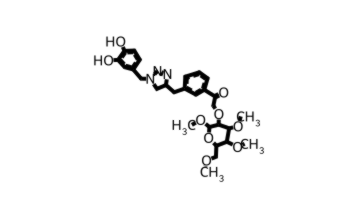 COCC1OC(OC)C(OCC(=O)c2cccc(CC3CN(Cc4ccc(O)c(O)c4)N=N3)c2)C(OC)C1OC